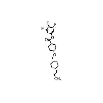 CCC[C@H]1CC[C@H](CO[C@H]2CC[C@H](C(=O)Oc3cc(F)c(F)c(F)c3)CC2)CC1